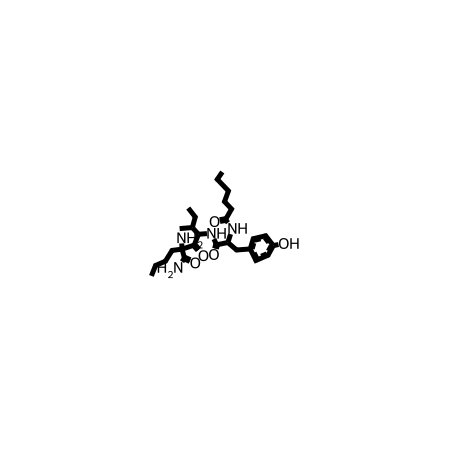 CCCCCC(=O)NC(Cc1ccc(O)cc1)C(=O)NC(C(=O)C(N)(CCCC)C(N)=O)C(C)CC